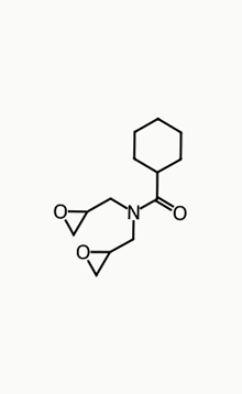 O=C(C1CCCCC1)N(CC1CO1)CC1CO1